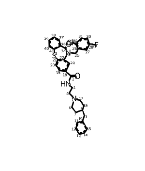 O=C(NCCN1CCC(Cc2ccccc2)CC1)c1ccc2c(c1)N(Cc1cc(F)ccc1Cl)C(=O)c1ccccc1S2